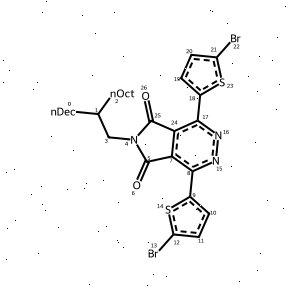 CCCCCCCCCCC(CCCCCCCC)CN1C(=O)c2c(-c3ccc(Br)s3)nnc(-c3ccc(Br)s3)c2C1=O